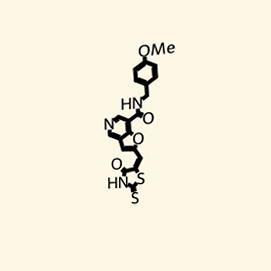 COc1ccc(CNC(=O)c2cncc3cc(C=C4SC(=S)NC4=O)oc23)cc1